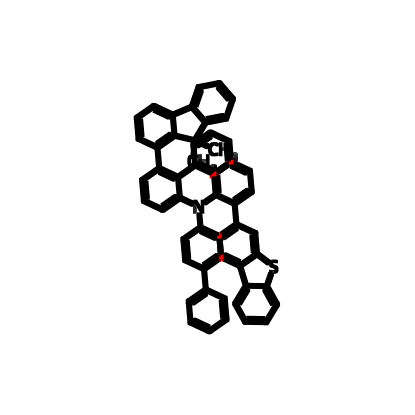 CC1(C)c2ccccc2-c2cccc(-c3cccc(N(c4ccc(-c5ccccc5)cc4)c4ccccc4-c4ccc5c(c4)sc4ccccc45)c3-c3ccccc3)c21